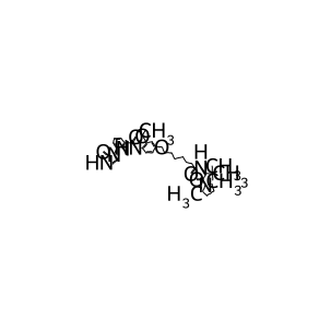 COc1cc(OCCCCCCC(=O)NC(C(=O)N2CCCC2C)C(C)(C)C)ccc1NC(=O)c1cccc(-n2cc[nH]c2=O)n1